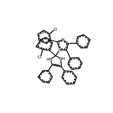 Clc1ccccc1-c1nc(-c2ccccc2)c(-c2ccccc2)n1C1(c2ccccc2Cl)NC(c2ccccc2)=C(c2ccccc2)N1